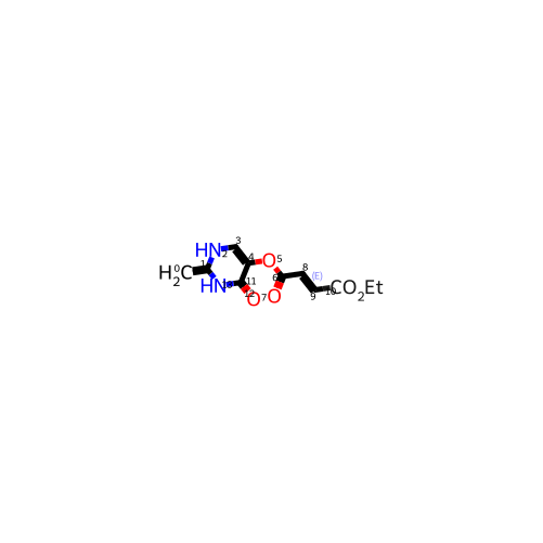 C=C1NC=C(OC(=O)/C=C/C(=O)OCC)C(=O)N1